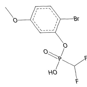 COc1ccc(Br)c(OP(=O)(O)C(F)F)c1